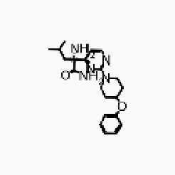 CC(C)C[C@](N)(C(N)=O)c1ccnc(N2CCC(Oc3ccccc3)CC2)n1